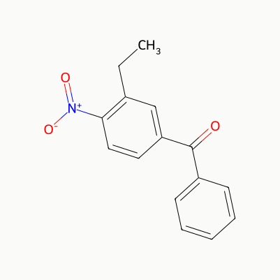 CCc1cc(C(=O)c2ccccc2)ccc1[N+](=O)[O-]